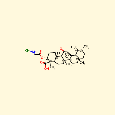 C[C@@H]1CC[C@]2(C)CC[C@]3(C)C(=CC(=O)C4[C@@]5(C)CC[C@@H](OC(=O)CNCl)[C@](C)(C(=O)O)C5CC[C@]43C)C2[C@H]1C